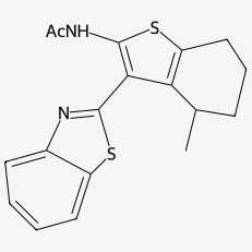 CC(=O)Nc1sc2c(c1-c1nc3ccccc3s1)C(C)CCC2